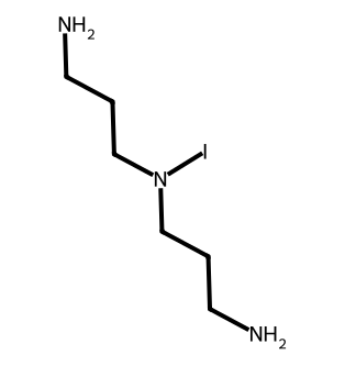 NCCCN(I)CCCN